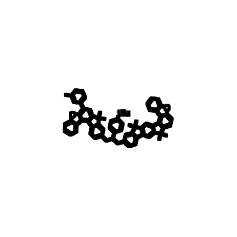 Cc1cccc(-c2cc3c(c4c2oc2ccccc24)-c2ccc(CC(Cc4ccc5c(c4)C(C)(C)c4cc6c(cc4-5)C(C)(C)c4ccc5oc7ccccc7c5c4-6)c4ccc(C(C)(C)C)cc4)cc2C3(C)C)c1